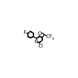 Fc1ccc(-c2nc(Cl)cc3c2OCC3C(F)(F)F)cc1